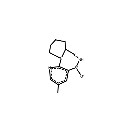 Cc1cnc2c(c1)[S+]([O-])NCC1CCCCN21